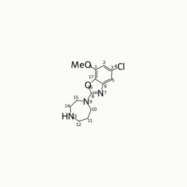 COc1cc(Cl)cc2nc(N3CCCNCC3)oc12